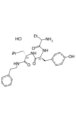 CCC(N)C(=O)N[C@@H](Cc1ccc(O)cc1)C(=O)N[C@@H](CC(C)C)C(=O)NCCc1ccccc1.Cl